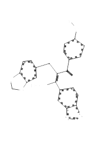 CC(C)Oc1ccc(C(=O)C(Cc2ccc3c(c2)OCO3)=C(C(=O)O)c2ccc3nsnc3c2)cc1